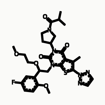 COCCOC(Cn1c(=O)n(C2CCN(C(=O)C(C)C)C2)c(=O)c2c(C)c(-n3nccn3)sc21)c1cc(F)ccc1OC